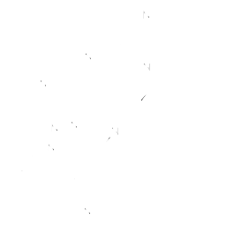 CC[C@@H](Nc1c(C#N)cnc2c(C#N)cc(N[C@H](c3cn(C4CC4)nn3)c3cccc4ncsc34)cc12)c1ccccc1